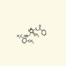 Cc1cccc(C)c1NCc1nnc(SCC(=O)c2ccccc2)n1C